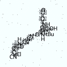 CC(C)(C)[C@H](NC(=O)COCCN1CCN(c2ccc(C(=O)N[C@H]3C(C)(C)[C@H](Oc4ccc(C#N)c(Cl)c4)C3(C)C)cn2)CC1)C(=O)N1C[C@H](O)C[C@H]1C(=O)NCc1ccc(C2CCOCC2)cc1